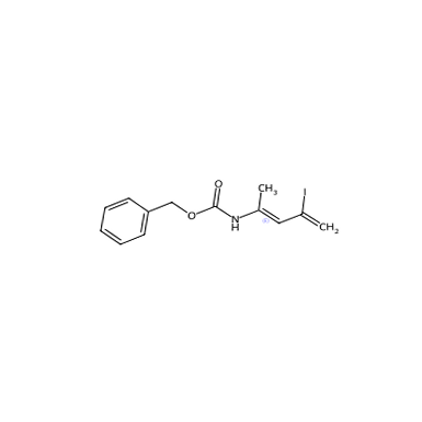 C=C(I)/C=C(\C)NC(=O)OCc1ccccc1